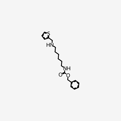 O=C(NCCCCCCNCc1cccs1)OCc1ccccc1